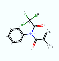 C=C(C)C(=O)N(C(=O)C(Br)(Br)Br)c1ccccc1